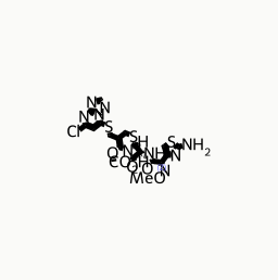 CO/N=C(\C(=O)N[C@@H]1C(=O)N2C(OC(=O)O)=C(CSc3cc(Cl)nc4ncnn34)CS[C@H]12)c1csc(N)n1